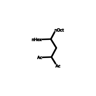 CCCCCCCCC(CCCCCC)CC(C(C)=O)C(C)=O